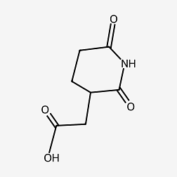 O=C(O)CC1CCC(=O)NC1=O